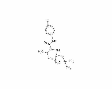 CC(C)C(NC(=O)OC(C)(C)C)C(=O)Nc1ccc(Cl)cc1